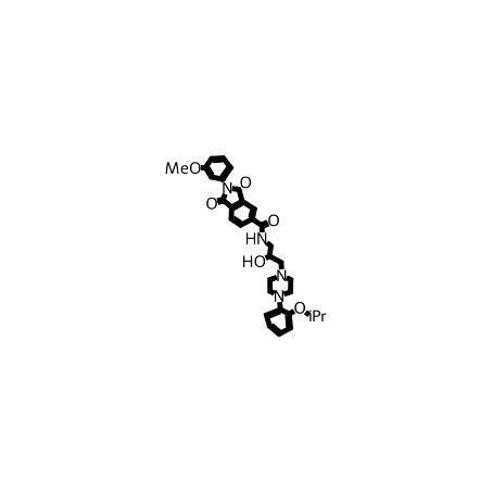 COc1cccc(N2C(=O)c3ccc(C(=O)NCC(O)CN4CCN(c5ccccc5OC(C)C)CC4)cc3C2=O)c1